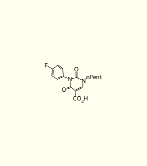 CCCCCn1cc(C(=O)O)c(=O)n(-c2ccc(F)cc2)c1=O